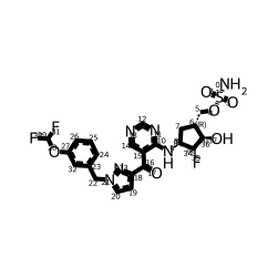 NS(=O)(=O)OC[C@H]1C[C@@H](Nc2ncncc2C(=O)c2ccn(Cc3cccc(OC(F)F)c3)n2)[C@@H](F)[C@@H]1O